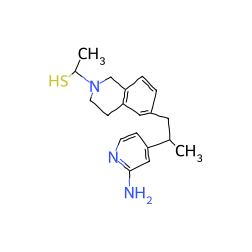 CC(Cc1ccc2c(c1)CCN(C(C)S)C2)c1ccnc(N)c1